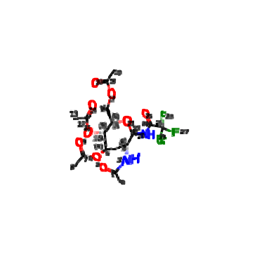 CC(=O)N[C@@H]1[C@@H](OC(C)=O)[C@H](OC(C)=O)[C@@H](COC(C)=O)O[C@H]1NC(=O)C(F)(F)Br